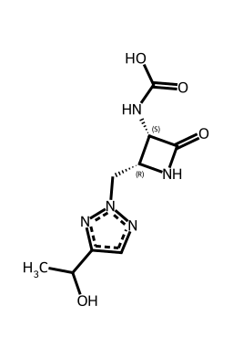 CC(O)c1cnn(C[C@H]2NC(=O)[C@H]2NC(=O)O)n1